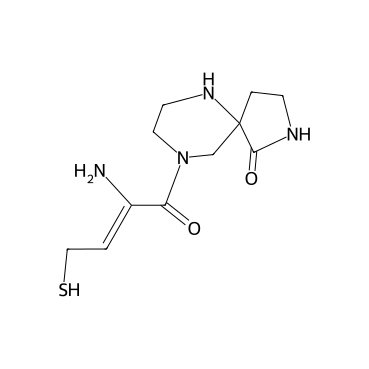 NC(=CCS)C(=O)N1CCNC2(CCNC2=O)C1